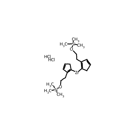 C[Si](C)(C)OCCC1=[C]([Zr][C]2=C(CCO[Si](C)(C)C)C=CC2)CC=C1.Cl.Cl